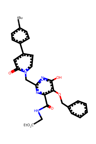 CCOC(=O)CNC(=O)c1nc(Cn2ccc(-c3ccc(C(C)(C)C)cc3)cc2=O)nc(O)c1OCc1ccccc1